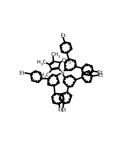 CCc1ccc(-c2cc(-c3ccc(CC)cc3)cc([Si](C3=C(C)C(C)=C(C)C3C)(c3cc(-c4ccc(CC)cc4)cc(-c4ccc(CC)cc4)c3)c3cc(-c4ccc(CC)cc4)cc(-c4ccc(CC)cc4)c3)c2)cc1